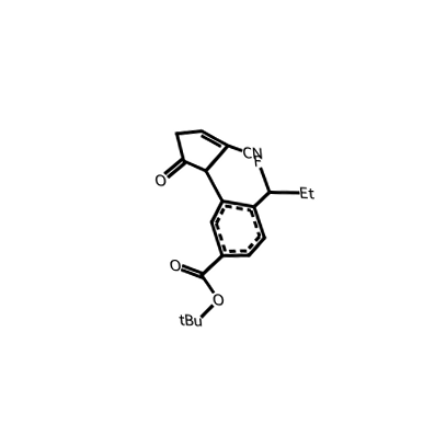 CCC(F)c1ccc(C(=O)OC(C)(C)C)cc1C1C(=O)CC=C1C#N